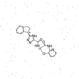 O=C(N[C@H]1COc2cccnc2NC1=O)c1nnc([C@@H]2CCc3ccccc32)[nH]1